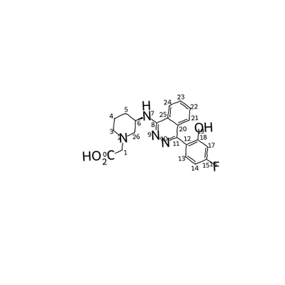 O=C(O)CN1CCC[C@@H](Nc2nnc(-c3ccc(F)cc3O)c3ccccc23)C1